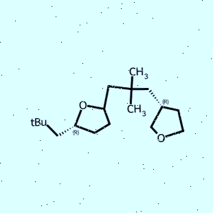 CC(C)(C)C[C@H]1CCC(CC(C)(C)C[C@@H]2CCOC2)O1